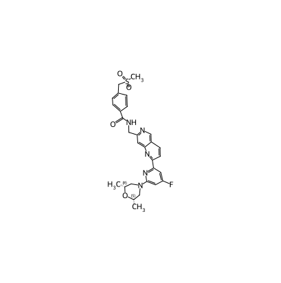 C[C@@H]1CN(c2cc(F)cc(-c3ccc4cnc(CNC(=O)c5ccc(CS(C)(=O)=O)cc5)cc4n3)n2)C[C@H](C)O1